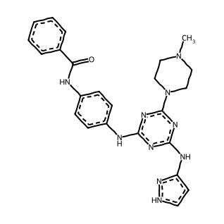 CN1CCN(c2nc(Nc3ccc(NC(=O)c4ccccc4)cc3)nc(Nc3cc[nH]n3)n2)CC1